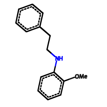 COc1ccccc1NCCc1ccccc1